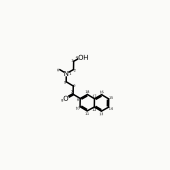 CN(CCO)CCC(=O)c1ccc2ccccc2c1